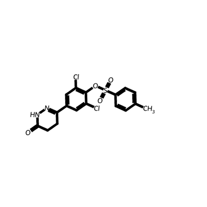 Cc1ccc(S(=O)(=O)Oc2c(Cl)cc(C3=NNC(=O)CC3)cc2Cl)cc1